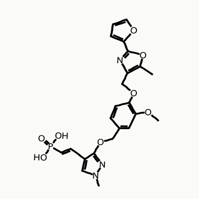 COc1cc(COc2nn(C)cc2/C=C/P(=O)(O)O)ccc1OCc1nc(-c2ccco2)oc1C